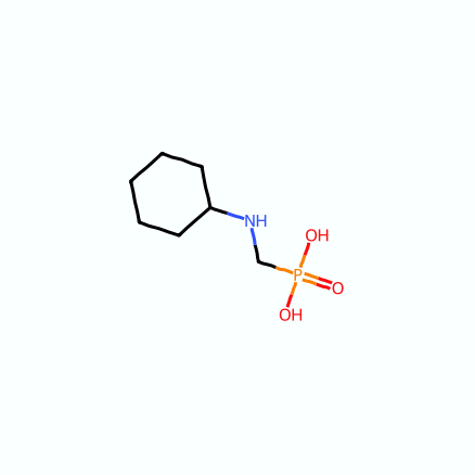 O=P(O)(O)CNC1CCCCC1